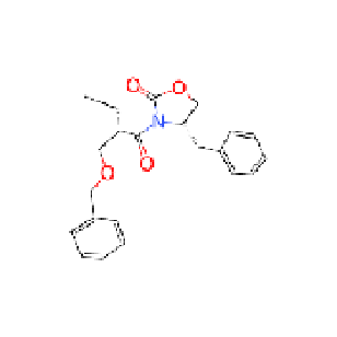 CC[C@@H](COCc1ccccc1)C(=O)N1C(=O)OC[C@@H]1Cc1ccccc1